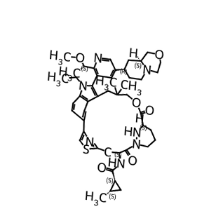 CCn1c(-c2cc([C@@H]3CCN4CCOC[C@@H]4C3)cnc2[C@H](C)OC)c2c3cc(ccc31)-c1csc(n1)C[C@H](NC(=O)[C@H]1C[C@@H]1C)C(=O)N1CCC[C@H](N1)C(=O)OCC(C)(C)C2